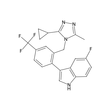 Cc1nnc(C2CC2)n1Cc1cc(C(F)(F)F)ccc1-c1c[nH]c2ccc(F)cc12